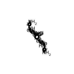 Cl.Cl.Cl.Cl.Nc1ccc(CNC(=O)N2CCN(C(=O)O[C@H]3CCC[C@@H](OC(=O)N4CCN(C(=O)NCc5ccc(N)cc5)CC4)CCC3)CC2)cc1